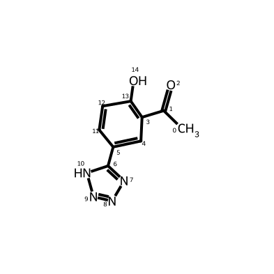 CC(=O)c1cc(-c2nnn[nH]2)ccc1O